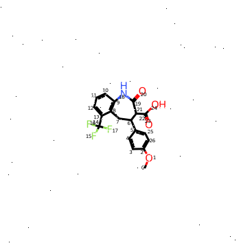 COc1ccc(C2Cc3c(cccc3C(F)(F)F)NC(=O)C2C(=O)O)cc1